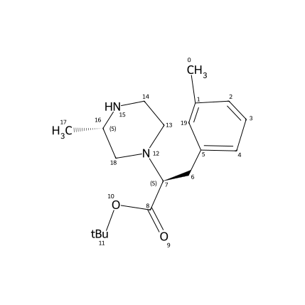 Cc1cccc(C[C@@H](C(=O)OC(C)(C)C)N2CCN[C@@H](C)C2)c1